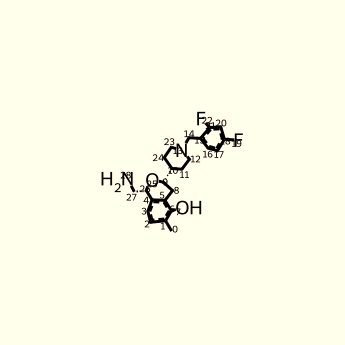 Cc1ccc2c(c1O)C[C@@H](C1CCN(Cc3ccc(F)cc3F)CC1)O[C@H]2CN